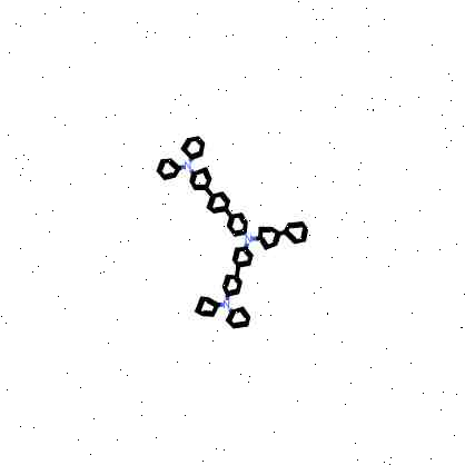 c1ccc(-c2ccc(N(c3ccc(-c4ccc(-c5ccc(N(c6ccccc6)c6ccccc6)cc5)cc4)cc3)c3ccc(-c4ccc(N(c5ccccc5)c5ccccc5)cc4)cc3)cc2)cc1